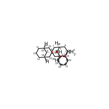 C[C@@H]1C[C@@H]2C[C@H](C1)C[C@@H](C1[C@@H]3CCC[C@H]1C[C@@H](Nc1ccccc1N)C3)C2